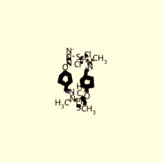 CCC(C)(Oc1ccc(/C=N/N(C)P(=S)(Cl)Cl)cc1)[PH](=S)N(C)/N=C/c1ccc(ON=[N+]=[N-])cc1